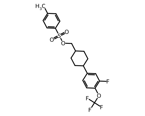 Cc1ccc(S(=O)(=O)OCC2CCC(c3ccc(OC(F)(F)F)c(F)c3)CC2)cc1